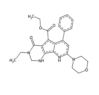 CCOC(=O)c1c2c(c3[nH]c(N4CCOCC4)cc(-c4ccccc4)c1-3)NCN(CC)C2=O